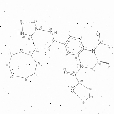 CC(=O)N1c2ccc(C3CC(C4CCCCCCC4)C4NCCN4N3)cc2N(C(=O)C2CCCO2)C[C@@H]1C